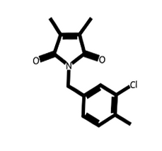 CC1=C(C)C(=O)N(Cc2ccc(C)c(Cl)c2)C1=O